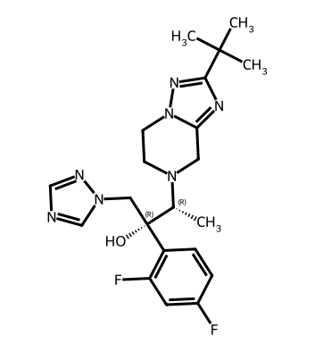 C[C@@H](N1CCn2nc(C(C)(C)C)nc2C1)[C@](O)(Cn1cncn1)c1ccc(F)cc1F